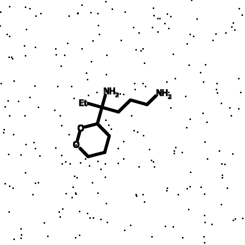 CCC(N)(CCCN)C1CCCOO1